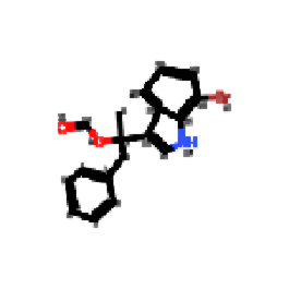 CC(Cc1ccccc1)(OC=O)c1c[nH]c2c(Br)cccc12